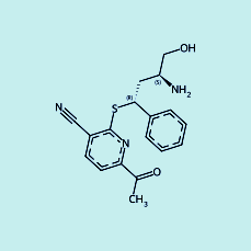 CC(=O)c1ccc(C#N)c(S[C@H](C[C@H](N)CO)c2ccccc2)n1